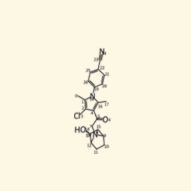 Cc1c(Cl)c(C(=O)CN2C3CCC2[C@@H](O)C3)c(C)n1-c1ccc(C#N)cc1